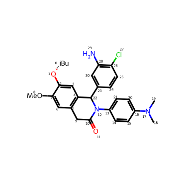 CC[C@@H](C)Oc1cc2c(cc1OC)CC(=O)N(c1ccc(N(C)C)cc1)C2c1ccc(Cl)c(N)c1